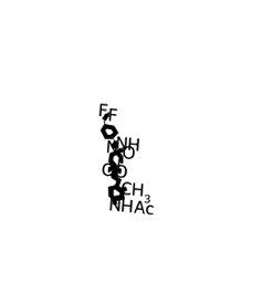 CC(=O)Nc1ccc(CCS(=O)(=O)N2CCC3(CC2)N=C([C@H]2CC[C@@H](CC(F)F)CC2)NC3=O)c(C)c1